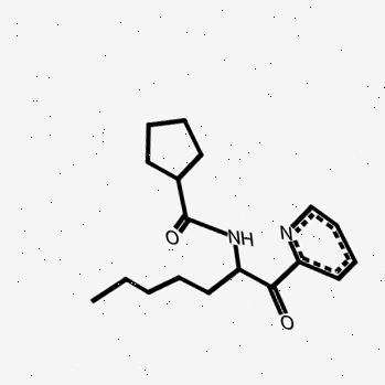 CCCCCC(NC(=O)C1CCCC1)C(=O)c1ccccn1